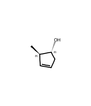 C[C@@H]1C=CC[C@H]1O